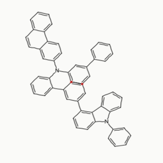 c1ccc(-c2cccc(N(c3ccc4c(ccc5ccccc54)c3)c3ccccc3-c3cccc(-c4cccc5c4c4ccccc4n5-c4ccccc4)c3)c2)cc1